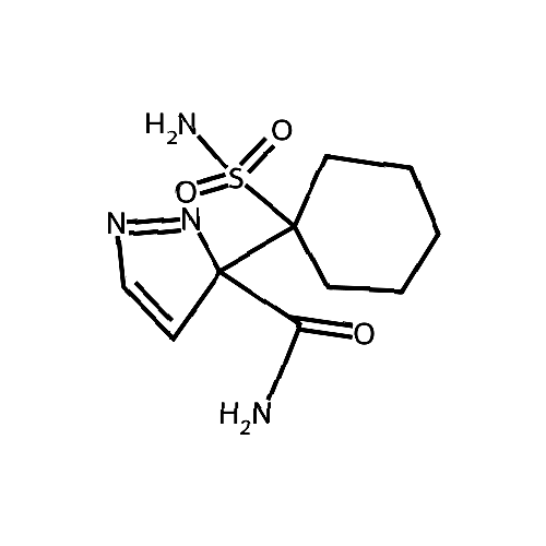 NC(=O)C1(C2(S(N)(=O)=O)CCCCC2)C=CN=N1